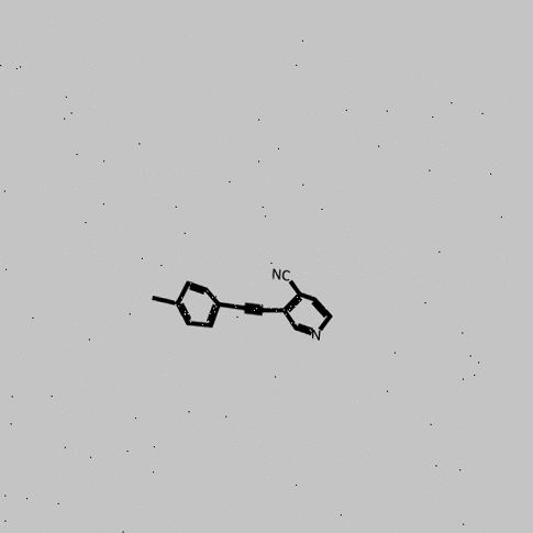 Cc1ccc(C#Cc2cnccc2C#N)cc1